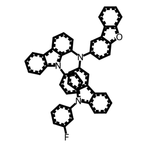 Fc1cccc(-n2c3ccccc3c3cc(N(c4ccc5oc6ccccc6c5c4)c4cccc5c6ccccc6n(-c6ccccc6)c45)ccc32)c1